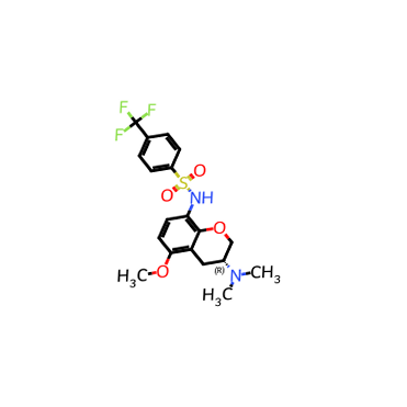 COc1ccc(NS(=O)(=O)c2ccc(C(F)(F)F)cc2)c2c1C[C@@H](N(C)C)CO2